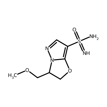 COCC1COc2c(S(=N)(N)=O)cnn21